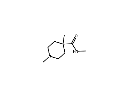 CNC(=O)C1(C)CCN(C)CC1